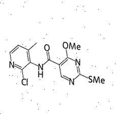 COc1nc(SC)ncc1C(=O)Nc1c(C)ccnc1Cl